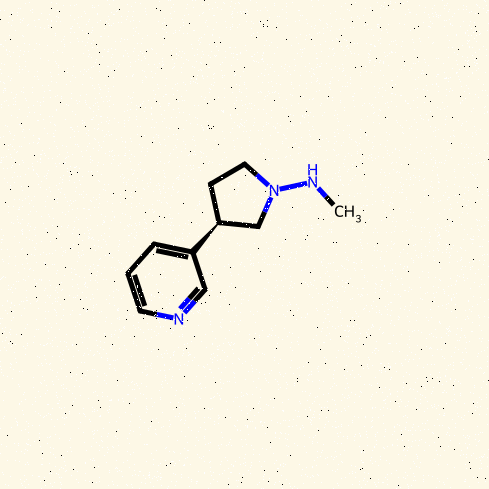 CNN1CC[C@H](c2cccnc2)C1